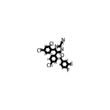 N#Cc1nc(OCc2ccc(F)c(F)c2)c(-c2ccc(Cl)cc2)c(-c2ccc(Cl)cc2Cl)n1